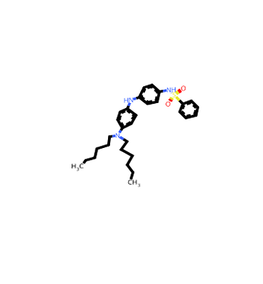 CCCCCCN(CCCCCC)c1ccc(Nc2ccc(NS(=O)(=O)c3ccccc3)cc2)cc1